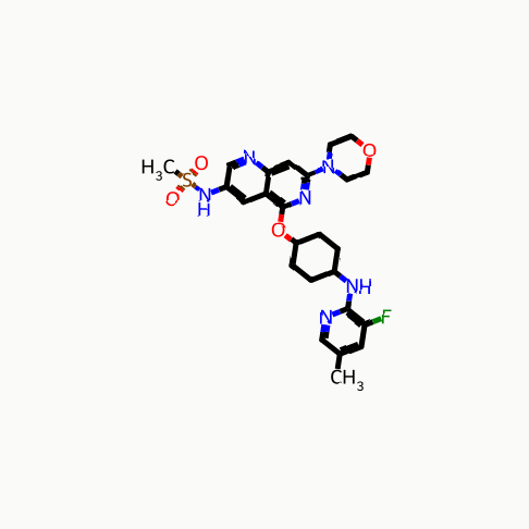 Cc1cnc(NC2CCC(Oc3nc(N4CCOCC4)cc4ncc(NS(C)(=O)=O)cc34)CC2)c(F)c1